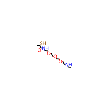 CCNCCOCCOCCOCCNC(=O)C(C)S